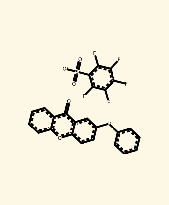 O=S(=O)([O-])c1c(F)c(F)c(F)c(F)c1F.O=c1c2ccccc2oc2ccc([I+]c3ccccc3)cc12